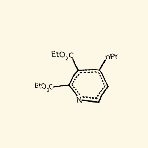 CCCc1ccnc(C(=O)OCC)c1C(=O)OCC